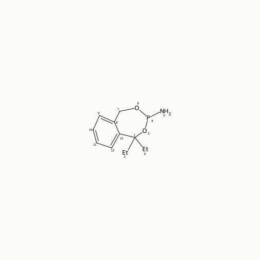 CCC1(CC)OP(N)OCc2ccccc21